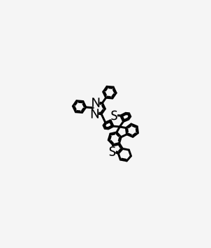 C1=Cc2sc3ccc4c(c3c2CC1)-c1ccccc1C41c2ccccc2Sc2c(-c3cc(-c4ccccc4)nc(-c4ccccc4)n3)cccc21